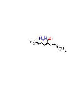 C=C=CCC(=CCC=C)C(N)=O